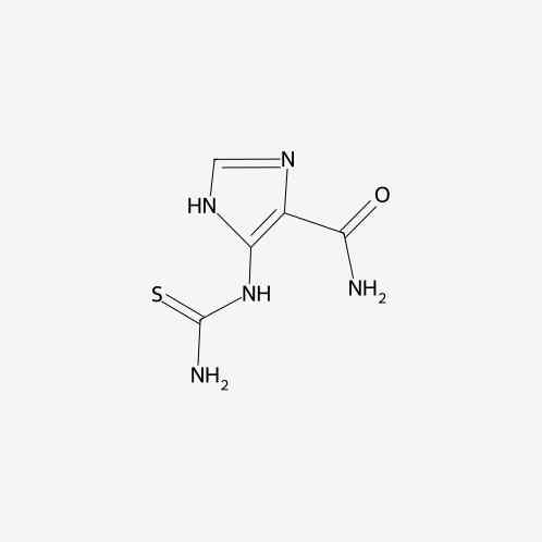 NC(=O)c1nc[nH]c1NC(N)=S